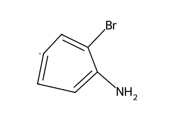 Nc1cc[c]cc1Br